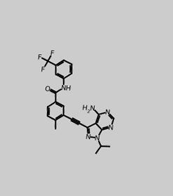 Cc1ccc(C(=O)Nc2cccc(C(F)(F)F)c2)cc1C#Cc1nn(C(C)C)c2ncnc(N)c12